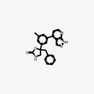 Cc1cc(-c2ccnc3[nH]ncc23)cc(C2(Cc3ccccc3)CNC(=O)O2)c1